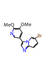 COc1cc(-c2cnc3ccc(Br)cn23)cnc1OC